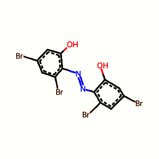 Oc1cc(Br)cc(Br)c1N=Nc1c(O)cc(Br)cc1Br